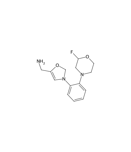 NCC1=CN(c2ccccc2N2CCOC(F)C2)CO1